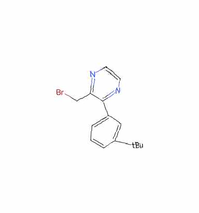 CC(C)(C)c1cccc(-c2nccnc2CBr)c1